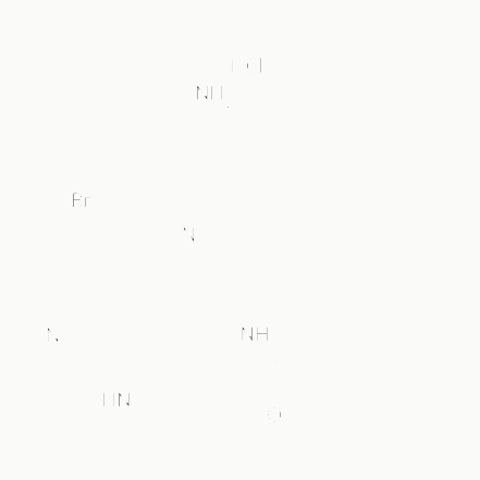 Cc1cccc(C(=O)Nc2c[nH]c3ncc(Br)c(N4CCC[C@@H](N)C4)c23)c1.Cl